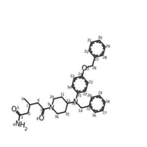 CC(CC(N)=O)CC(=O)N1CCC(N(Cc2ccccc2)c2ccc(OCc3ccccc3)cc2)CC1